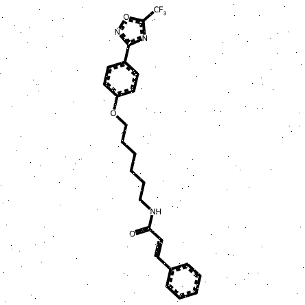 O=C(C=Cc1ccccc1)NCCCCCCOc1ccc(-c2noc(C(F)(F)F)n2)cc1